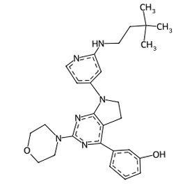 CC(C)(C)CCNc1cc(N2CCc3c(-c4cccc(O)c4)nc(N4CCOCC4)nc32)ccn1